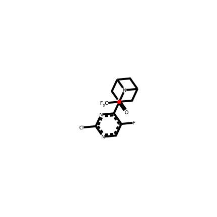 O=C(N1C2CC1CN(c1nc(Cl)ncc1F)C2)C(F)(F)F